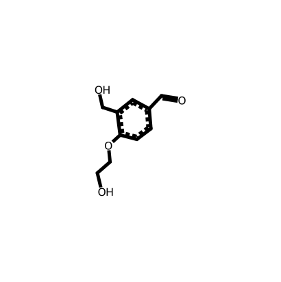 O=Cc1ccc(OCCO)c(CO)c1